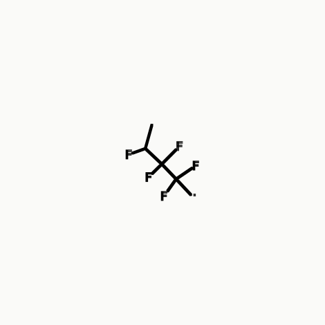 [CH2]C(F)(F)C(F)(F)C(C)F